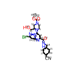 CC(C)(C)OC(=O)N1CCN(c2cc(C(=O)NCc3ccc(C#N)cc3)nc3cc(Br)nn23)C(CO)C1